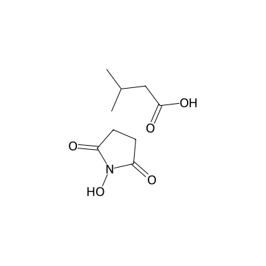 CC(C)CC(=O)O.O=C1CCC(=O)N1O